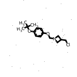 CC(C)(C)Oc1ccc(OCN2CC(CCl)C2)cc1